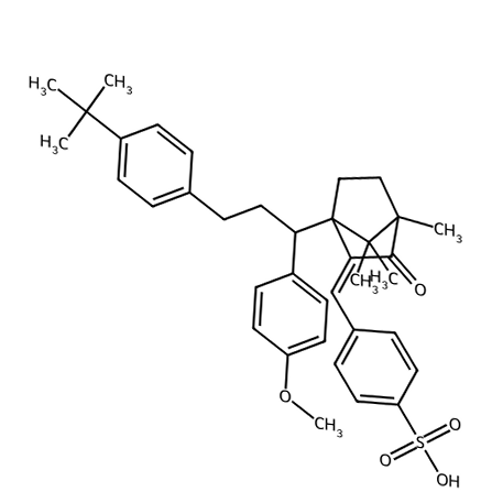 COc1ccc(C(CCc2ccc(C(C)(C)C)cc2)C23CCC(C)(C(=O)C2=Cc2ccc(S(=O)(=O)O)cc2)C3(C)C)cc1